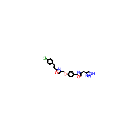 Clc1ccc(C=Cc2nc(COc3ccc(-c4nc(Cc5c[nH]nn5)co4)cc3)co2)cc1